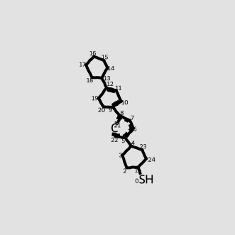 SC1CCC(c2ccc(C3=CC=C(C4CCCCC4)CC3)cc2)CC1